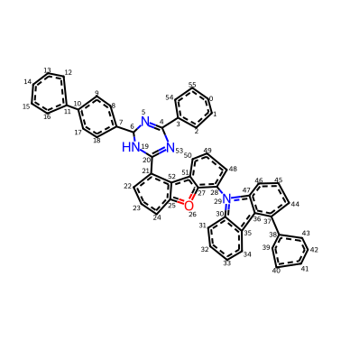 c1ccc(C2=NC(c3ccc(-c4ccccc4)cc3)NC(c3cccc4oc5c(-n6c7ccccc7c7c(-c8ccccc8)cccc76)cccc5c34)=N2)cc1